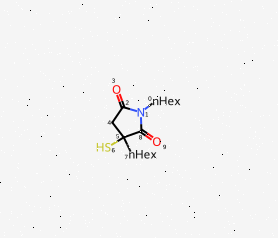 CCCCCCN1C(=O)CC(S)(CCCCCC)C1=O